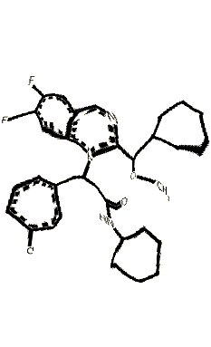 COC(c1nc2cc(F)c(F)cc2n1C(C(=O)NC1CCCCC1)c1cccc(Cl)c1)C1CCCCC1